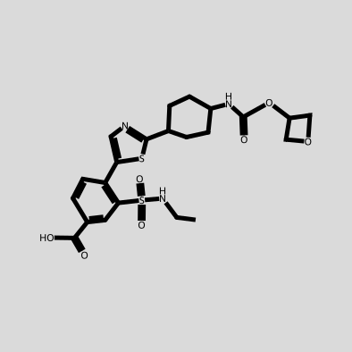 CCNS(=O)(=O)c1cc(C(=O)O)ccc1-c1cnc(C2CCC(NC(=O)OC3COC3)CC2)s1